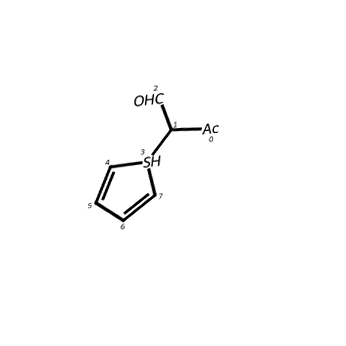 CC(=O)C(C=O)[SH]1C=CC=C1